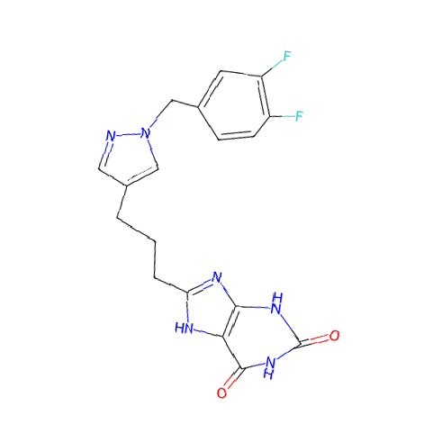 O=c1[nH]c(=O)c2[nH]c(CCCc3cnn(Cc4ccc(F)c(F)c4)c3)nc2[nH]1